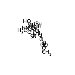 Cc1ccc(S(=O)(=O)OCCOCCOCCOCC(=O)NC(C(=O)N2C[C@H](O)C[C@H]2C(=O)NC(C)c2ccc(-c3scnc3C)cc2)C(C)(C)C)cc1